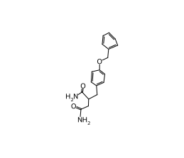 NC(=O)CC(Cc1ccc(OCc2ccccc2)cc1)C(N)=O